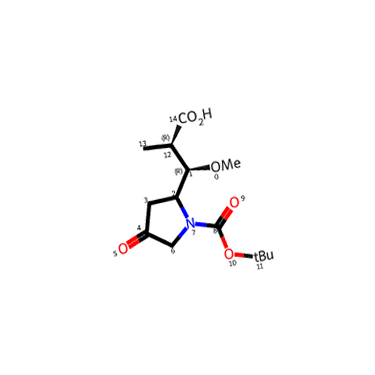 CO[C@@H](C1CC(=O)CN1C(=O)OC(C)(C)C)[C@@H](C)C(=O)O